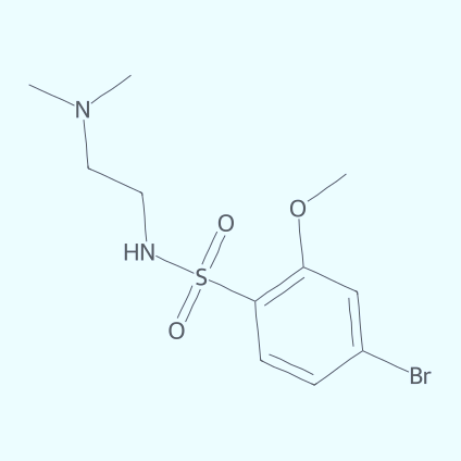 COc1cc(Br)ccc1S(=O)(=O)NCCN(C)C